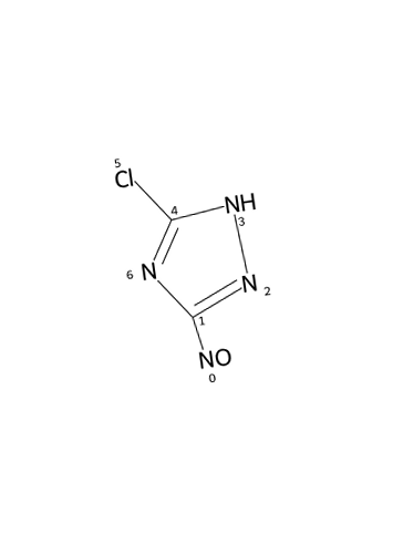 O=Nc1n[nH]c(Cl)n1